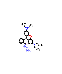 CCN(CC)c1ccc2c(-c3ccccc3C(=O)NNN)c3ccc(=[N+](CC)CC)cc-3oc2c1